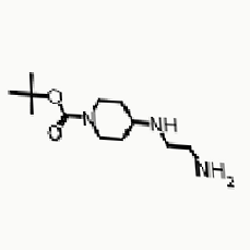 CC(C)(C)OC(=O)N1CCC(NCCN)CC1